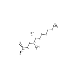 CCCCCCCC(O)CCC(=O)[O-].[K+]